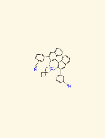 N#Cc1cccc(-c2cc3ccccc3c3c2C[N+]2(Cc4c(-c5cccc(C#N)c5)cc5ccccc5c4-3)CC3(CCC3)C2)c1